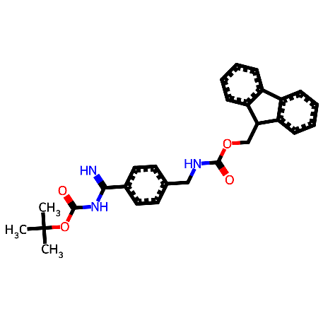 CC(C)(C)OC(=O)NC(=N)c1ccc(CNC(=O)OCC2c3ccccc3-c3ccccc32)cc1